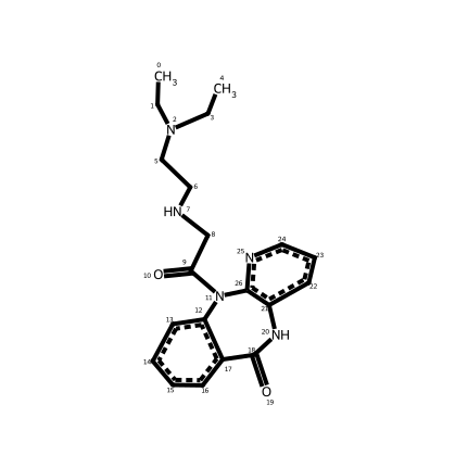 CCN(CC)CCNCC(=O)N1c2ccccc2C(=O)Nc2cccnc21